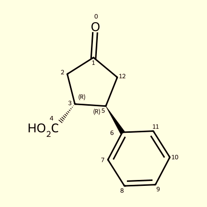 O=C1C[C@@H](C(=O)O)[C@H](c2ccccc2)C1